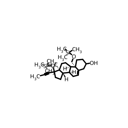 CC#CC1(O[Si](C)(C)C)CC[C@H]2[C@@H]3CC=C4CC(O)CC[C@]4(CO[Si](C)(C)C)[C@@H]3CC[C@@]21C